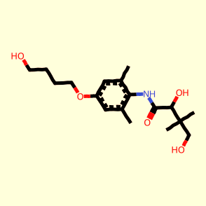 Cc1cc(OCCCCO)cc(C)c1NC(=O)C(O)C(C)(C)CO